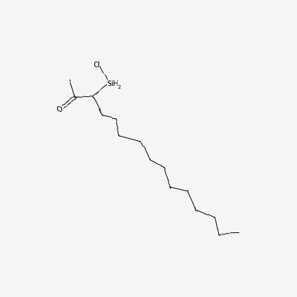 CCCCCCCCCCCCC([SiH2]Cl)C(C)=O